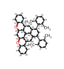 Cc1cccc(C)c1-c1cc(-c2c(C)cccc2C)c2cc3c4ccccc4oc4cc5oc6ccccc6c6cc1c2c(c56)c43